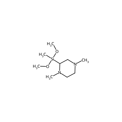 CO[Si](C)(OC)C1CN(C)CCN1C